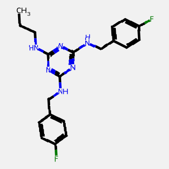 CCCNc1nc(NCc2ccc(F)cc2)nc(NCc2ccc(F)cc2)n1